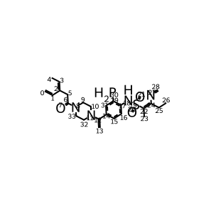 C=C/C(=C\C)CC(=O)N1CCN(C(=C)c2ccc(NS(=O)(=O)/C(C)=C(/CC)N=C)c(P)c2)CC1